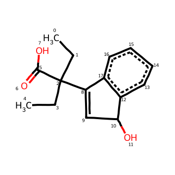 CCC(CC)(C(=O)O)C1=CC(O)c2ccccc21